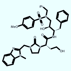 COc1ccc(S(=O)(=O)N(CC(C)C)C[C@H](O)[C@H](Cc2ccccc2)NC(=O)[C@H](CCO)N2CCN(Cc3nc4ccccc4n3C)C2=O)cc1